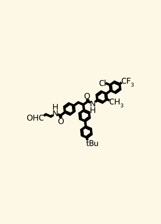 Cc1cc(NC(=O)C(Cc2ccc(C(=O)NCCC=O)cc2)c2ccc(-c3ccc(C(C)(C)C)cc3)cc2)ccc1-c1ccc(C(F)(F)F)cc1Cl